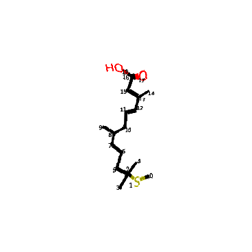 CSC(C)(C)CCCC(C)CC=CC(C)=CC(=O)O